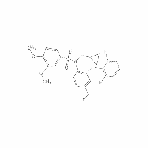 COc1ccc(S(=O)(=O)N(CC2CC2)c2ccc(CI)cc2Cc2c(F)cccc2F)cc1OC